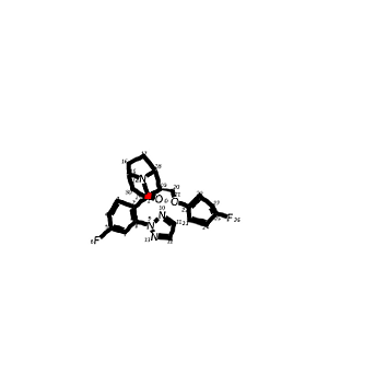 O=C(c1ccc(F)cc1-n1nccn1)N1C2CCC1[C@@H](COc1ccc(F)cc1)CC2